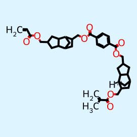 C=CC(=O)OCC1CC2C3CC(COC(=O)c4ccc(C(=O)OCC5CC6C7CC(COC(=O)C(=C)C)[C@@H](C7)C6C5)cc4)C(C3)C2C1